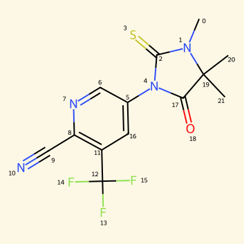 CN1C(=S)N(c2cnc(C#N)c(C(F)(F)F)c2)C(=O)C1(C)C